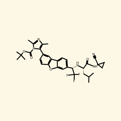 Cc1nc(C)n(C(=O)OC(C)(C)C)c1-c1ccc2oc3cc([C@H](N[C@@H](CC(C)C)C(=O)NC4(C#N)CC4)C(F)(F)F)ccc3c2c1